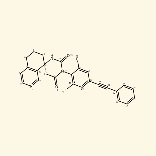 O=C1C[C@]2(CCCc3ccncc32)NC(=O)N1c1c(F)cc(C#Cc2ccccc2)cc1F